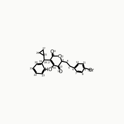 O=C1OC(CCc2ccc(Br)cc2)C(=O)C(O)=C1C(c1ccccc1)C1CC1